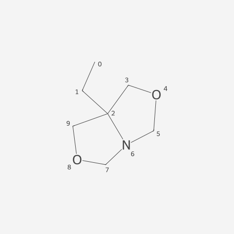 CCC12COCN1COC2